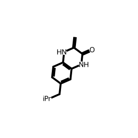 C=C1Nc2ccc(CC(C)C)cc2NC1=O